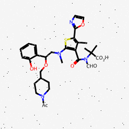 CC(=O)N1CCC(COC(CN(C)c2sc(-c3ncco3)c(C)c2C(=O)N(C=O)C(C)(C)C(=O)O)c2ccccc2O)CC1